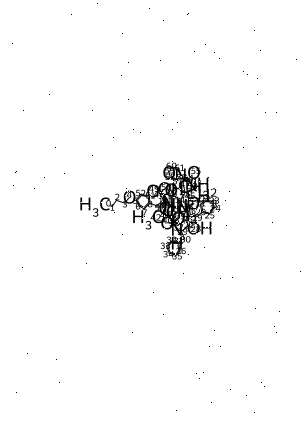 CCCCOc1ccc(C[C@H](NC(=O)C(NC(=O)C(Cc2ccccc2)CC(O)C(Cc2ccccc2)NC(=O)OC(C)(C)C)C(C)C)C(=O)O)cc1.NC(=O)N1CCOCC1